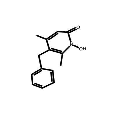 Cc1cc(=O)n(O)c(C)c1Cc1ccccc1